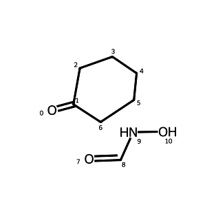 O=C1CCCCC1.O=CNO